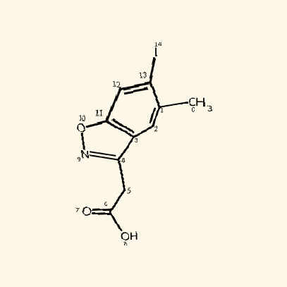 Cc1cc2c(CC(=O)O)noc2cc1I